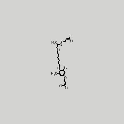 CCc1cc(OCC=C(Cl)Cl)cc(C)c1OCCCCCCOCC(C)=NOCC=C(Cl)Cl